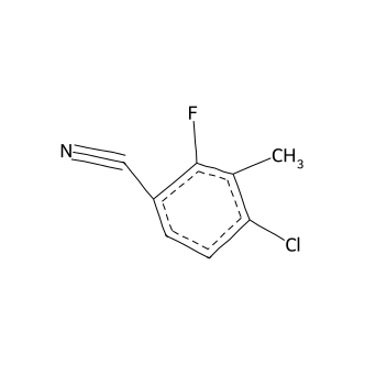 Cc1c(Cl)ccc(C#N)c1F